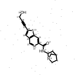 O=C(NC1CC2CCN1C2)c1cc2sc(C#CCO)cc2cn1